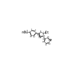 CCCCc1ccc(N2CC(CC)C(c3cccnc3)=N2)cc1